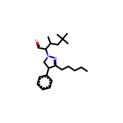 CCCCCC1=NN(C(C=O)C(C)CC(C)(C)C)CC1c1ccccc1